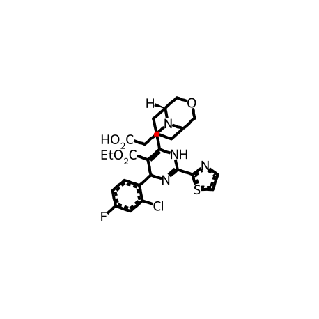 CCOC(=O)C1=C(CN2C3COC[C@H]2CC(CC(=O)O)C3)NC(c2nccs2)=NC1c1ccc(F)cc1Cl